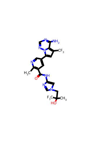 Cc1ncc(-c2cc(C(F)(F)F)c3c(N)ncnn23)cc1C(=O)Nc1cn(CC(C)(O)C(F)(F)F)cn1